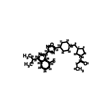 CCC(=O)N1CC[C@H](CN2CCC(c3nc(-n4nc(C(C)C)c5cccc(F)c54)no3)CC2)C1